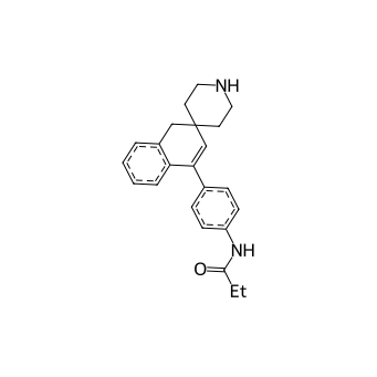 CCC(=O)Nc1ccc(C2=CC3(CCNCC3)Cc3ccccc32)cc1